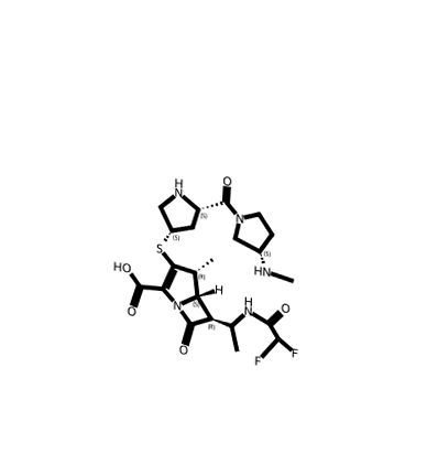 CN[C@H]1CCN(C(=O)[C@@H]2C[C@H](SC3=C(C(=O)O)N4C(=O)[C@H](C(C)NC(=O)C(F)F)[C@H]4[C@H]3C)CN2)C1